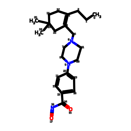 CCCC1=C(CN2CCN(c3ccc(C(=O)N=O)cc3)CC2)CC(C)(C)CC1